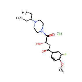 CCC(CC)N1CCN(C(=O)C(O)CC(=O)c2ccc(OC)c(F)c2)CC1.Cl